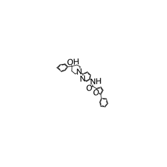 O=C(Nc1ccc(N2CCC(O)(c3ccccc3)CC2)nc1)c1ccc(-c2ccccc2)o1